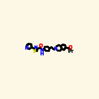 CC(C)C(=O)c1ccc2c(c1)CCN(CCC1CCC(NC(=O)c3csc(-c4cccnc4)n3)CC1)CC2